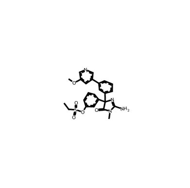 CCS(=O)(=O)Oc1cccc(C2(c3cccc(-c4cncc(OC)c4)c3)N=C(N)N(C)C2=O)c1